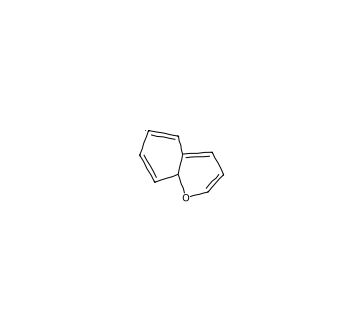 [C]1=CC2=CC=COC2C=C1